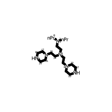 CCCN(CCC)CCN(CCN1CCNCC1)CCN1CCNCC1